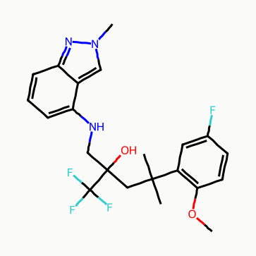 COc1ccc(F)cc1C(C)(C)CC(O)(CNc1cccc2nn(C)cc12)C(F)(F)F